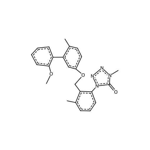 COc1ccccc1-c1cc(OCc2c(C)cccc2-n2nnn(C)c2=O)ccc1C